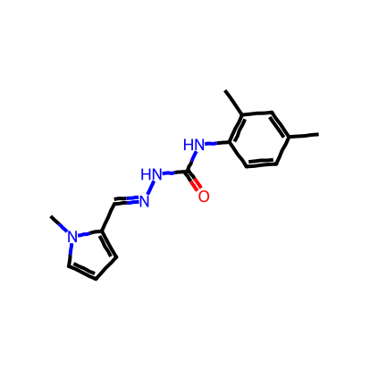 Cc1ccc(NC(=O)NN=Cc2cccn2C)c(C)c1